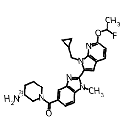 CC(F)Oc1ccc2cc(-c3nc4cc(C(=O)N5CCC[C@@H](N)C5)ccc4n3C)n(CC3CC3)c2n1